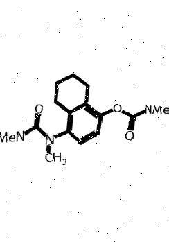 CNC(=O)Oc1ccc(N(C)C(=O)NC)c2c1CCCC2